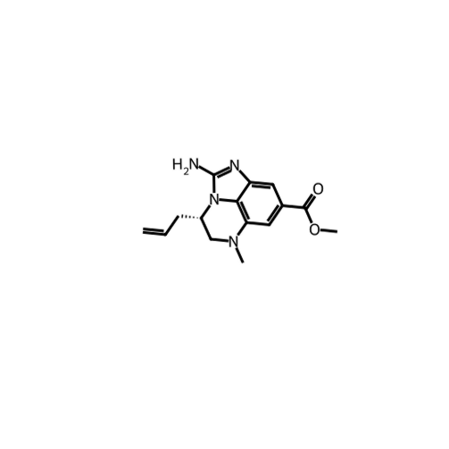 C=CC[C@H]1CN(C)c2cc(C(=O)OC)cc3nc(N)n1c23